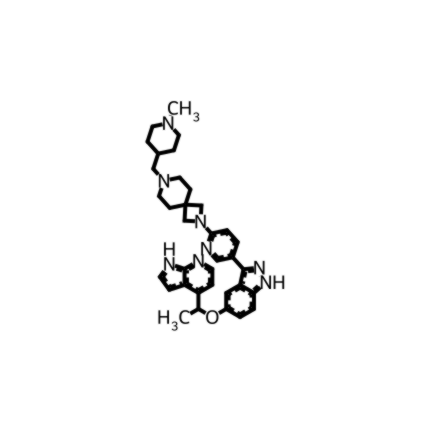 CC(Oc1ccc2[nH]nc(-c3ccc(N4CC5(CCN(CC6CCN(C)CC6)CC5)C4)nc3)c2c1)c1ccnc2[nH]ccc12